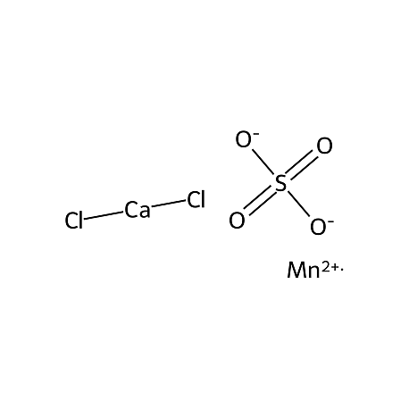 O=S(=O)([O-])[O-].[Cl][Ca][Cl].[Mn+2]